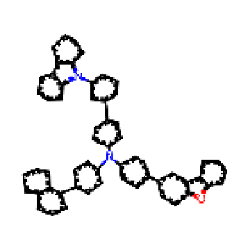 c1cc(-c2ccc(N(c3ccc(-c4ccc5oc6ccccc6c5c4)cc3)c3ccc(-c4cccc5ccccc45)cc3)cc2)cc(-n2c3ccccc3c3ccccc32)c1